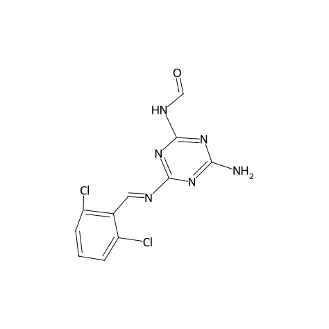 Nc1nc(N=Cc2c(Cl)cccc2Cl)nc(NC=O)n1